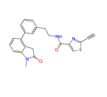 C#Cc1nc(C(=O)NCCc2cccc(-c3cccc4c3CC(=O)N4C)c2)cs1